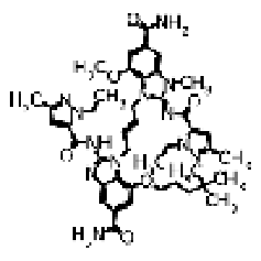 CCn1nc(C)cc1C(=O)/N=c1\n(C)c2cc(C(N)=O)cc(OC)c2n1C/C=C/Cn1c(NC(=O)c2cc(C)nn2CC)nc2cc(C(N)=O)cc(OCCCC(C)(C)C)c21